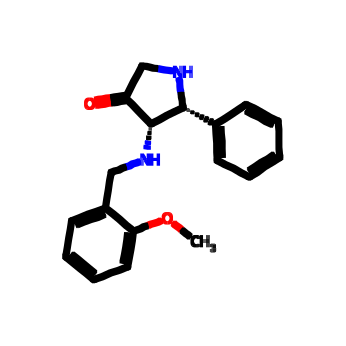 COc1ccccc1CN[C@@H]1C(=O)CN[C@@H]1c1ccccc1